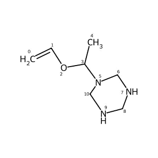 C=COC(C)N1CNCNC1